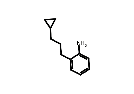 Nc1ccccc1CCCC1CC1